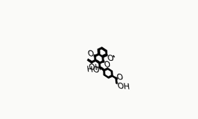 C=C(O)C1=C(C(O)=C2CCC(C(=O)CO)CC2)C(=O)c2c(OC)cccc2C1=O